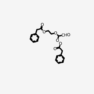 O=CC(OCCOC(=O)Cc1ccccc1)OOC(=O)Cc1ccccc1